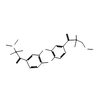 CNCC(C)(C)C(=O)c1ccc2c(c1)Sc1cc(C(=O)C(C)(C)N(C)C)ccc1O2